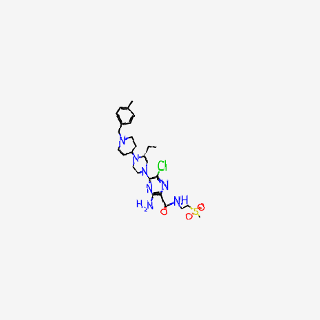 CC[C@H]1CN(c2nc(N)c(C(=O)NCCS(C)(=O)=O)nc2Cl)CCN1C1CCN(Cc2ccc(C)cc2)CC1